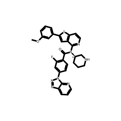 COc1cccc(-c2cc3c(N(C(=O)c4ccc(-n5nnc6cccnc65)cc4F)[C@@H]4CCCNC4)nccc3s2)c1